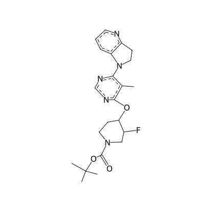 Cc1c(OC2CCN(C(=O)OC(C)(C)C)CC2F)ncnc1N1CCc2ncccc21